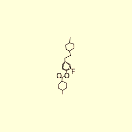 CC1CCC(CCc2ccc(OC(=O)C3CCC(C)CC3)c(F)c2)CC1